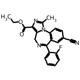 CCOC(=O)c1nc(C)n2c1CN=C(c1ccccc1F)c1cc(C#N)ccc1-2